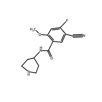 COc1cc(F)c(C#N)cc1C(=O)NC1CCNCC1